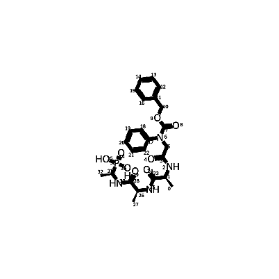 C[C@H](NC(=O)CN(C(=O)OCc1ccccc1)c1ccccc1)C(=O)N[C@@H](C)C(=O)N[C@@H](C)P(=O)(O)O